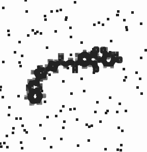 O=C1CCC(N2C(=O)c3ccc(NCCNC4CC(n5cc(-c6cnc7ccccc7n6)cn5)C4)cc3C2=O)C(=O)N1